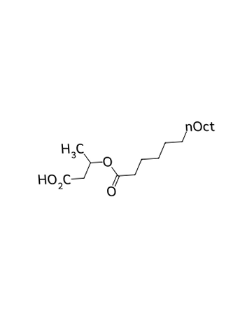 CCCCCCCCCCCCCC(=O)OC(C)CC(=O)O